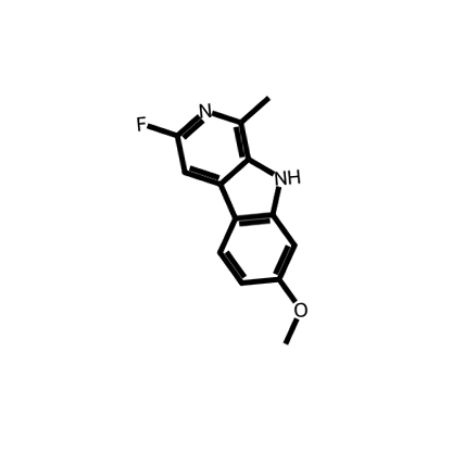 COc1ccc2c(c1)[nH]c1c(C)nc(F)cc12